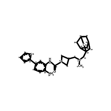 CN(CC1CN(C(=O)Nc2cc(-c3cccs3)ccc2N)C1)CC12CC3CC(CC1C3)C2